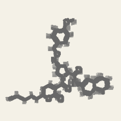 CCCCCc1ccc(C(=O)N2CC(=NOCc3ccc(OC)cc3)C[C@H]2C(=O)Nc2ccc3ncccc3c2)c(=O)o1